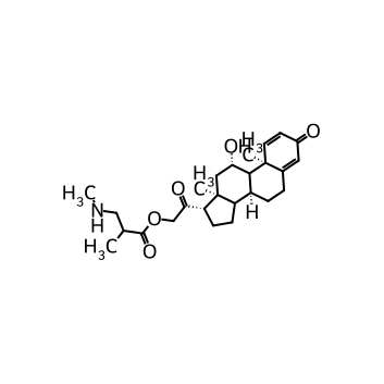 CNCC(C)C(=O)OCC(=O)[C@H]1CCC2[C@@H]3CCC4=CC(=O)C=C[C@]4(C)C3[C@@H](O)C[C@@]21C